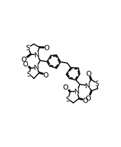 O=C1CSC(=O)N1C(c1ccc(Cc2ccc(C(N3C(=O)CSC3=O)N3C(=O)CSC3=O)cc2)cc1)N1C(=O)CSC1=O